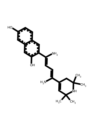 CC1(C)C=C(/C(N)=C/C=C(\N)c2cc3ccc(O)cc3cc2O)CC(C)(C)N1